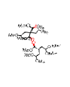 COC(=O)C(CC(OC)OC)(CC(OC)OC)C(=O)OC.COC(=O)C(CC(OC)OC)CC(OC)OC